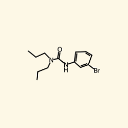 CCCN(CCC)C(=O)Nc1cccc(Br)c1